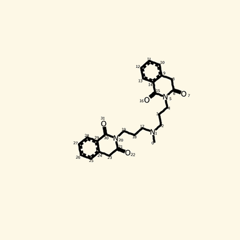 CN(CCCN1C(=O)Cc2ccccc2C1=O)CCCN1C(=O)Cc2ccccc2C1=O